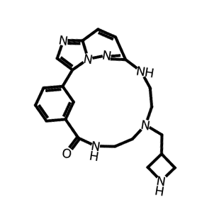 O=C1NCCN(CC2CNC2)CCNc2ccc3ncc(n3n2)-c2cccc1c2